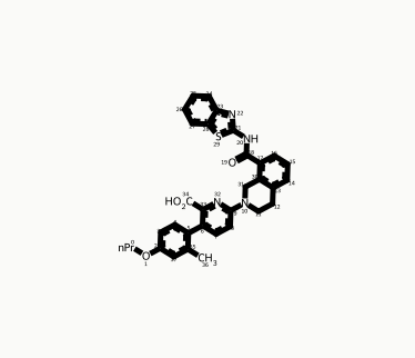 CCCOc1ccc(-c2ccc(N3CCc4cccc(C(=O)Nc5nc6ccccc6s5)c4C3)nc2C(=O)O)c(C)c1